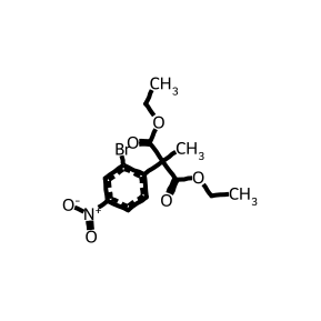 CCOC(=O)C(C)(C(=O)OCC)c1ccc([N+](=O)[O-])cc1Br